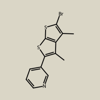 Cc1c(Br)sc2sc(-c3cccnc3)c(C)c12